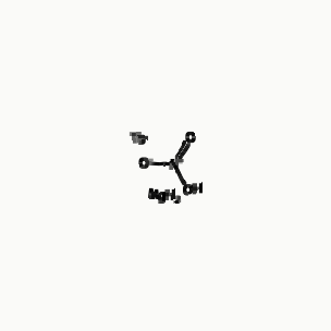 O=[N+]([O-])O.[MgH2].[Tb]